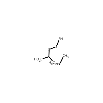 CC(SSS)C(=O)O.CCCC